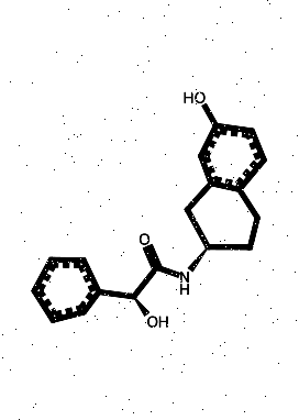 O=C(N[C@@H]1CCc2ccc(O)cc2C1)[C@@H](O)c1ccccc1